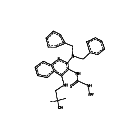 CCCNC(=S)Nc1c(N(Cc2ccccc2)Cc2ccccc2)nc2ccccc2c1NCC(C)(C)O